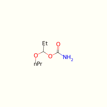 CCCOC(CC)OC(N)=O